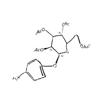 CC(=O)OCC1O[C@@H](Oc2ccc(N)cc2)[C@@H](OC(C)=O)C(OC(C)=O)[C@@H]1OC(C)=O